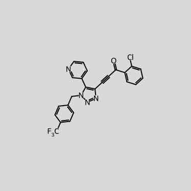 O=C(C#Cc1nnn(Cc2ccc(C(F)(F)F)cc2)c1-c1cccnc1)c1ccccc1Cl